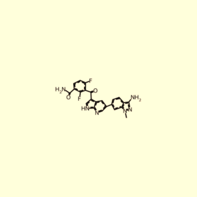 Cn1nc(N)c2ccc(-c3cnc4[nH]cc(C(=O)c5c(F)ccc(C(N)=O)c5F)c4c3)cc21